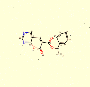 C[C@H](OC(=O)c1cc2cncnc2oc1=O)c1ccccc1